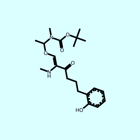 CN/C(=C\OC(C)N(C)C(=O)OC(C)(C)C)C(=O)CCCc1ccccc1O